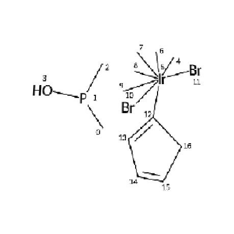 CP(C)O.[CH3][Ir]([CH3])([CH3])([CH3])([CH3])([Br])([Br])[C]1=CC=CC1